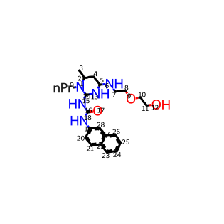 CCCN1C(C)CC(NCCOCCO)NC1NC(=O)Nc1ccc2ccccc2c1